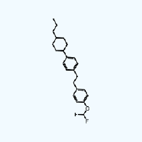 CCCC1CCC(c2ccc(CCc3ccc(OC(F)F)cc3)cc2)CC1